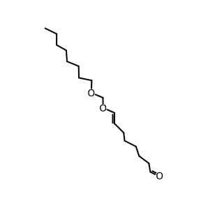 CCCCCCCCOCOC=CCCCCCC=O